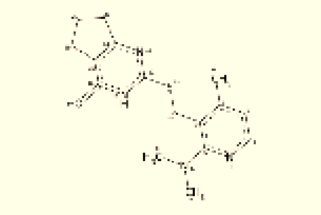 Cc1ccnc(N(C)C)c1CSc1nc2c(c(=O)[nH]1)CCC2